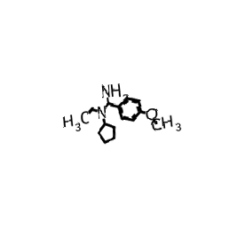 CCN(C1CCCC1)C(N)c1ccc(OC)cc1